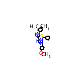 COc1ccc(Cn2nnc(-c3cnn(-c4ccc(C)c(C)c4)c3SCc3ccccc3)n2)cc1